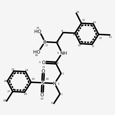 CCN(CC(=O)NC(Cc1ccc(C)cc1C)B(O)O)S(=O)(=O)c1cccc(C)c1